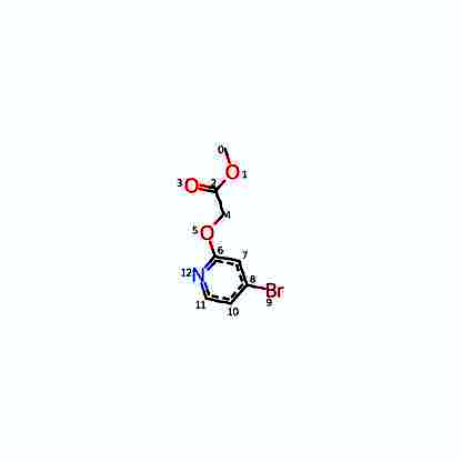 COC(=O)COc1cc(Br)ccn1